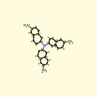 Cc1ccc2cc(N(c3ccc4cc(C)ccc4c3)c3ccc4cc(C)ccc4c3)ccc2c1